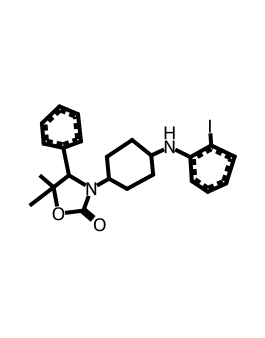 CC1(C)OC(=O)N(C2CCC(Nc3ccccc3I)CC2)C1c1ccccc1